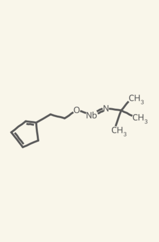 CC(C)(C)[N]=[Nb][O]CCC1=CC=CC1